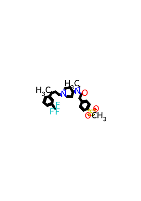 CCN(C(=O)Cc1ccc(S(C)(=O)=O)cc1)C1CCN(CCC(C)c2cccc(C(F)(F)F)c2)CC1